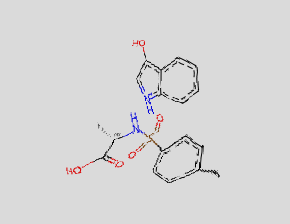 Cc1ccc(S(=O)(=O)N[C@@H](C)C(=O)O)cc1.Oc1c[nH]c2ccccc12